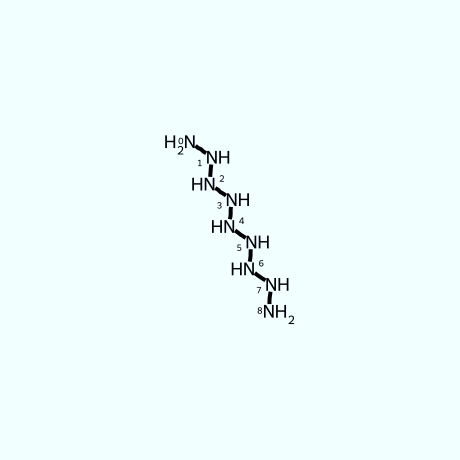 NNNNNNNNN